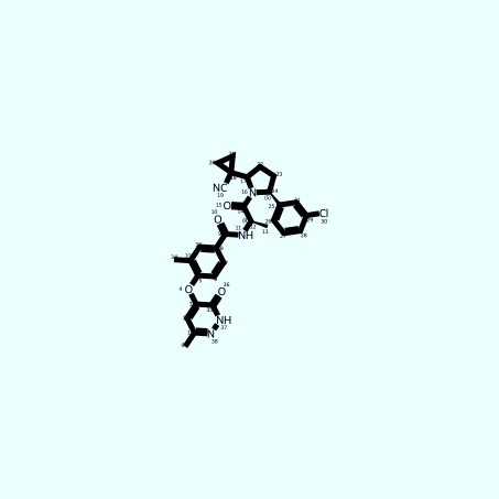 Cc1cc(Oc2ccc(C(=O)N[C@H](C)C(=O)N3C(C4(C#N)CC4)CC[C@H]3c3cccc(Cl)c3)cc2C)c(=O)[nH]n1